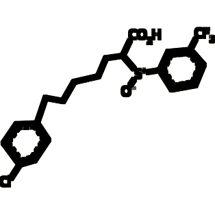 O=C(O)C(CCCCCc1ccc(Cl)cc1)[S+]([O-])c1cccc(C(F)(F)F)c1